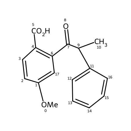 COc1ccc(C(=O)O)c(C(=O)C(C)c2ccccc2)c1